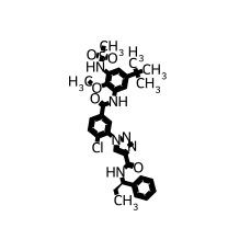 CC[C@@H](NC(=O)c1cn(-c2cc(C(=O)Nc3cc(C(C)(C)C)cc(NS(C)(=O)=O)c3OC)ccc2Cl)nn1)c1ccccc1